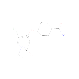 Cn1cc(Br)c(O[C@H]2CC[C@H](C(N)=O)CC2)cc1=O